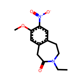 CCN1CCc2cc([N+](=O)[O-])c(OC)cc2CC1=O